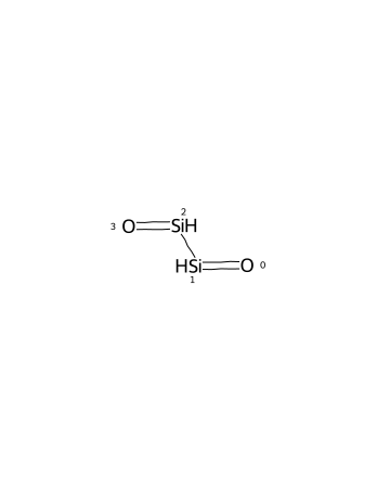 O=[SiH][SiH]=O